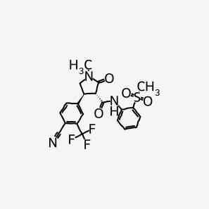 CN1C[C@H](c2ccc(C#N)c(C(F)(F)F)c2)[C@@H](C(=O)Nc2ccccc2S(C)(=O)=O)C1=O